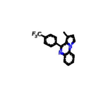 Cc1ccn2c1c(-c1ccc(C(F)(F)F)cc1)nc1ccccc12